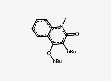 CCCCOc1c(CCCC)c(=O)n(C)c2ccccc12